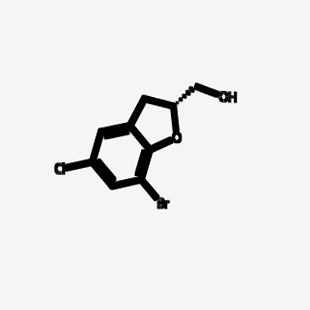 OC[C@H]1Cc2cc(Cl)cc(Br)c2O1